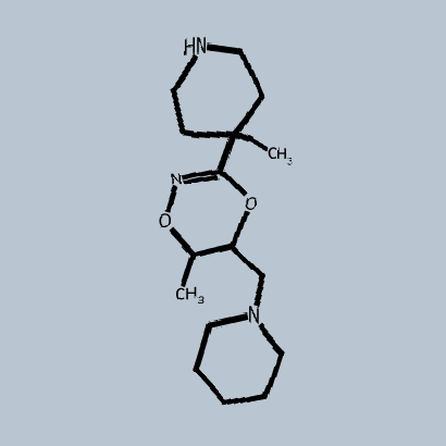 CC1ON=C(C2(C)CCNCC2)OC1CN1CCCCC1